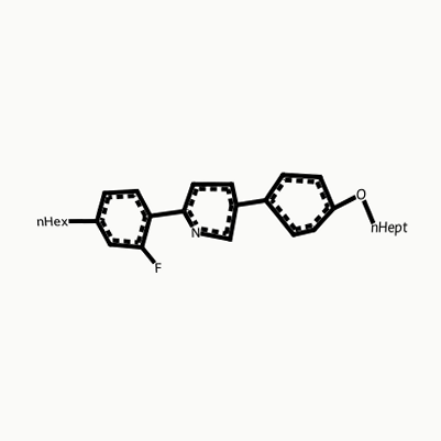 CCCCCCCOc1ccc(-c2ccc(-c3ccc(CCCCCC)cc3F)nc2)cc1